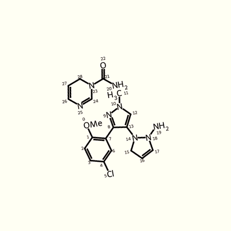 COc1ccc(Cl)cc1-c1nn(C)cc1N1CC=CN1N.NC(=O)N1C=NC=CC1